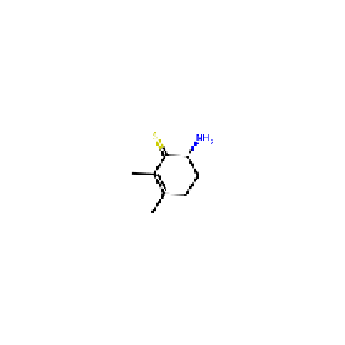 CC1=C(C)C(=S)[C@@H](N)CC1